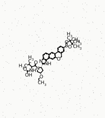 CCO[C@H]1C[C@@H](c2nc3ccc4cc5c(cc4c3[nH]2)OCc2cc(B3OC(C)(C)C(C)(C)O3)ccc2-5)N(C(=O)C(NC(=O)O)C(C)C)C1